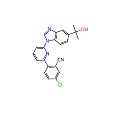 CC(C)(O)c1ccc2c(c1)ncn2-c1cccc(-c2ccc(Cl)cc2C#N)n1